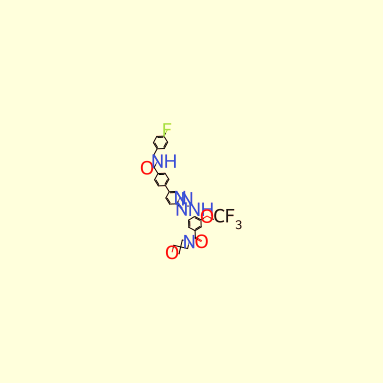 O=C(NCc1ccc(F)cc1)c1ccc(-c2ccc3nc(Nc4ccc(C(=O)N5CC6(COC6)C5)cc4OCC(F)(F)F)nn3c2)cc1